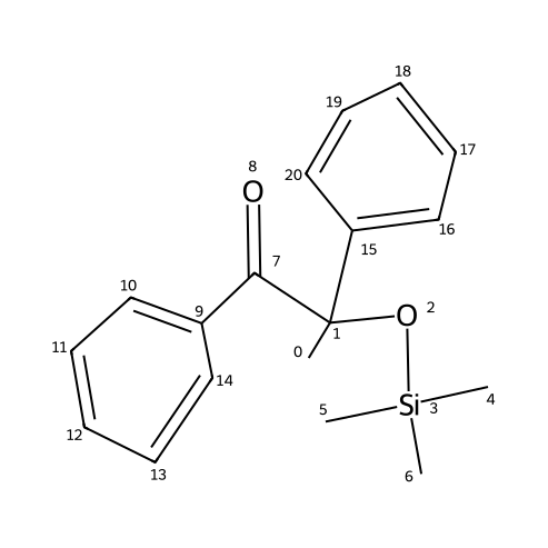 CC(O[Si](C)(C)C)(C(=O)c1ccccc1)c1ccccc1